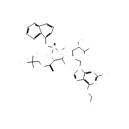 CCOc1nc(N)nc2c1ncn2CO[C@H](COP(=O)(N[C@H](C(=O)OCC(C)(C)C)C(C)C)Oc1cccc2ccccc12)[C@@H](O)C(C)O